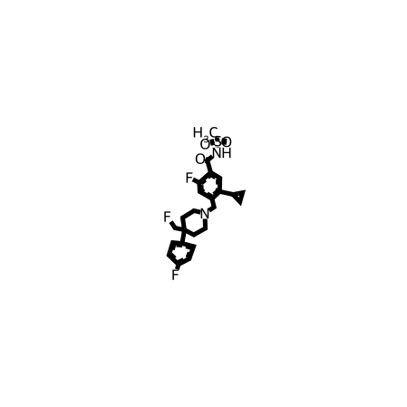 CS(=O)(=O)NC(=O)c1cc(C2CC2)c(CN2CCC(CF)(c3ccc(F)cc3)CC2)cc1F